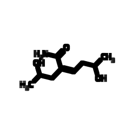 CC(O)CC=C(CC(C)O)C(N)=O